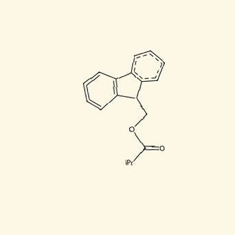 CC(C)C(=O)OCC1C2=C(C=C=C=C2)c2ccccc21